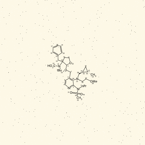 CCCN(c1nccc(COC2OCCC2(Cc2ccccc2)N(C(=O)O)C(C)(C)C)c1N(CCOC)C[C@H]1C[C@@H]1C)S(C)(=O)=O